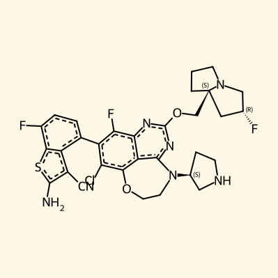 N#Cc1c(N)sc2c(F)ccc(-c3c(Cl)c4c5c(nc(OC[C@@]67CCCN6C[C@H](F)C7)nc5c3F)N([C@H]3CCNC3)CCO4)c12